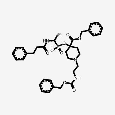 CC(C)C(NC(=O)CCc1ccccc1)P(=O)(O)OC1(C(=O)OCc2ccccc2)CCN(CCNC(=O)OCc2ccccc2)CC1